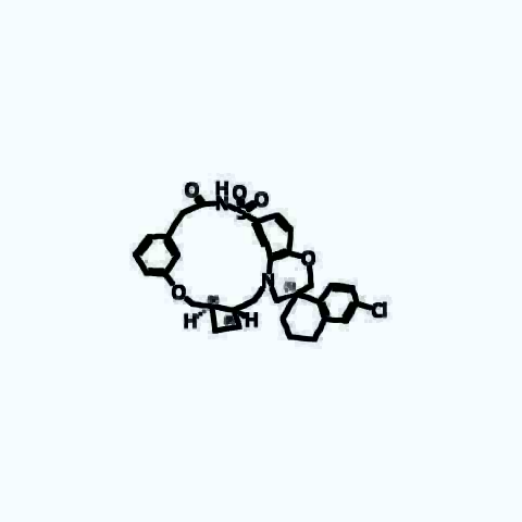 O=C1Cc2cccc(c2)OC[C@@H]2CC[C@H]2CN2C[C@@]3(CCCc4cc(Cl)ccc43)COc3ccc(cc32)S(=O)(=O)N1